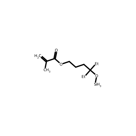 C=C(C)C(=O)OCCCC(CC)(CC)O[SiH3]